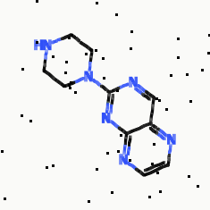 c1cnc2nc(N3CCNCC3)ncc2n1